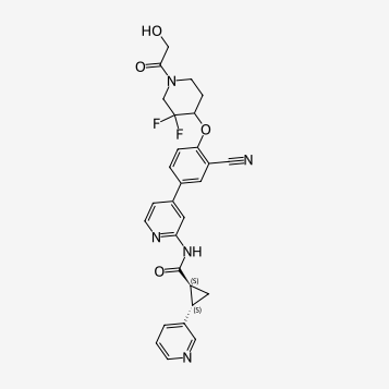 N#Cc1cc(-c2ccnc(NC(=O)[C@H]3C[C@@H]3c3cccnc3)c2)ccc1OC1CCN(C(=O)CO)CC1(F)F